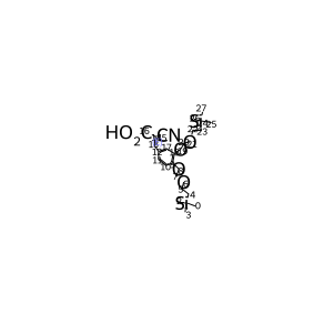 C[Si](C)(C)CCOCOc1ccc(/C=C(\C#N)C(=O)O)cc1OCOCC[Si](C)(C)C